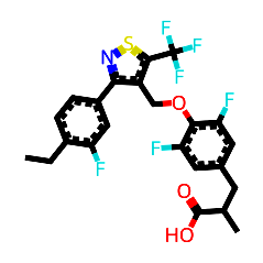 CCc1ccc(-c2nsc(C(F)(F)F)c2COc2c(F)cc(CC(C)C(=O)O)cc2F)cc1F